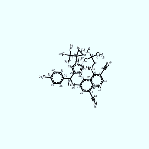 CC(C)(C)CNc1c(C#N)cnc2c(C#N)cc(NC(c3ccc(F)cc3)c3cn(C4(C(F)(F)F)CC4)nn3)cc12